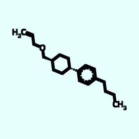 C=CCOC[C@H]1CC[C@H](c2ccc(CCCC)cc2)CC1